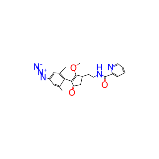 COC1=C(c2c(C)cc(N=[N+]=[N-])cc2C)C(=O)CC1CCNC(=O)c1ccccn1